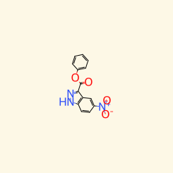 O=C(Oc1ccccc1)c1n[nH]c2ccc([N+](=O)[O-])cc12